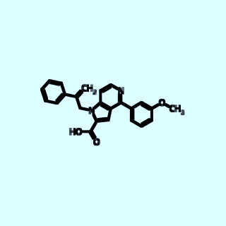 C=C(Cn1c(C(=O)O)cc2c(-c3cccc(OC)c3)nccc21)c1ccccc1